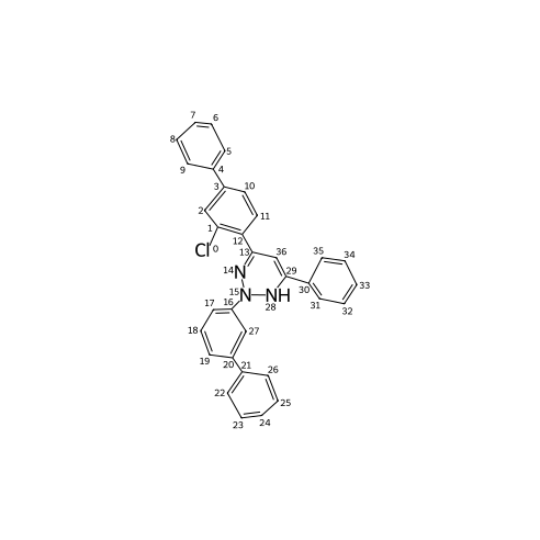 Clc1cc(-c2ccccc2)ccc1C1=NN(c2cccc(-c3ccccc3)c2)NC(c2ccccc2)=C1